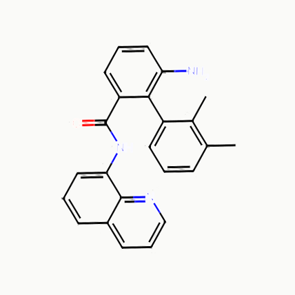 Cc1cccc(-c2c(N)cccc2C(=O)Nc2cccc3cccnc23)c1C